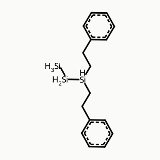 [SiH3][SiH2][SiH](CCc1ccccc1)CCc1ccccc1